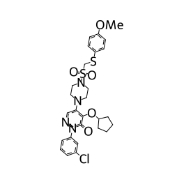 COc1ccc(SCS(=O)(=O)N2CCN(c3cnn(-c4cccc(Cl)c4)c(=O)c3OC3CCCC3)CC2)cc1